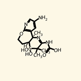 CC1(C)C(NC(=O)O)=N[C@]2(C)c3cc(N)cnc3OCC[C@@H]2S1(O)O